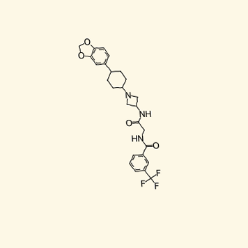 O=C(CNC(=O)c1cccc(C(F)(F)F)c1)NC1CN(C2CCC(c3ccc4c(c3)OCO4)CC2)C1